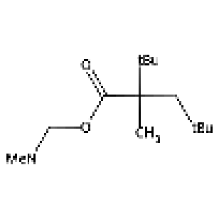 CNCOC(=O)C(C)(CC(C)(C)C)C(C)(C)C